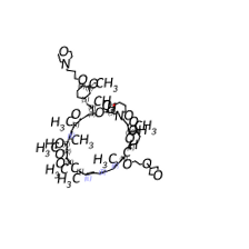 CO[C@@H]1C[C@H](C[C@@H](C)[C@@H]2CC(=O)[C@H](C)/C=C(\C)[C@@H](O)[C@@H](OC)C(=O)[C@H](C)C[C@H](C)/C=C/C=C/C=C(\C)[C@H](OCCOC3COC3)C[C@@H]3CC[C@@H](C)[C@@](O)(O3)C(=O)C(=O)N3CCCC[C@H]3C(=O)O2)CC[C@H]1OCCCN1CCOCC1